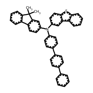 CC1(C)c2ccccc2-c2ccc(N(c3ccc(-c4ccc(-c5ccccc5)cc4)cc3)c3ccc4sc5ccccc5c4c3)cc21